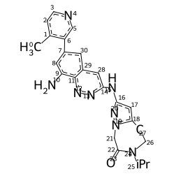 Cc1ccncc1-c1cc(N)c2nnc(Nc3cc4n(n3)CC(=O)N(C(C)C)CC4)cc2c1